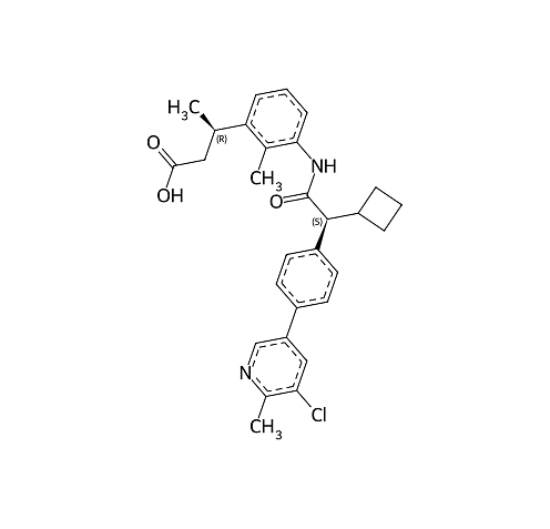 Cc1ncc(-c2ccc([C@@H](C(=O)Nc3cccc([C@H](C)CC(=O)O)c3C)C3CCC3)cc2)cc1Cl